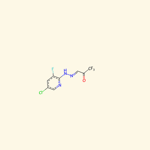 O=C(C=NNc1ncc(Cl)cc1F)C(F)(F)F